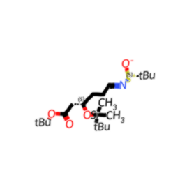 CC(C)(C)OC(=O)C[C@H](CCC=N[S@+]([O-])C(C)(C)C)O[Si](C)(C)C(C)(C)C